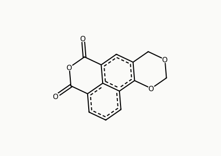 O=C1OC(=O)c2cc3c(c4cccc1c24)OCOC3